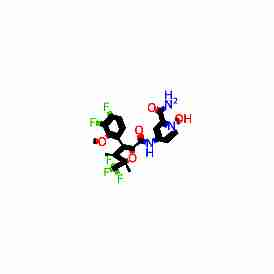 COc1c([C@H]2[C@@H](C(=O)Nc3cc[n+](O)c(C(N)=O)c3)O[C@](C)(C(F)(F)F)[C@H]2C)ccc(F)c1F